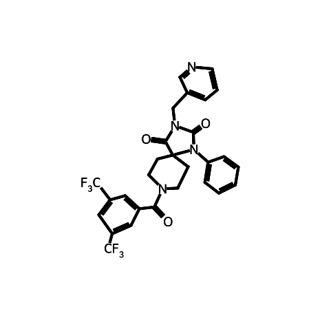 O=C(c1cc(C(F)(F)F)cc(C(F)(F)F)c1)N1CCC2(CC1)C(=O)N(Cc1cccnc1)C(=O)N2c1ccccc1